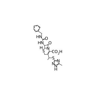 Cc1nc(SC(C)C2=C(C(=O)O)N3C(=O)C(NC(=O)NCc4ccccc4)[C@@H]3SC2)n[nH]1